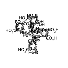 CN(CC(=O)NCC(CNC(=O)CN(C)C(=O)CN1CCN(CC(=O)O)CCN(CC(=O)O)CCN(CC(=O)O)CC1)(CNC(=O)CN(C)C(=O)CN1CCN(CC(=O)O)CCN(CC(=O)O)CCN(CC(O)O)CC1)CNC(=O)CN(C)C(=O)CN1CCN(CC(=O)O)CCN(CC(=O)O)CCN(CC2OC2O)CC1)C(=O)CN1CCN(CC(=O)O)CCN(CC(=O)O)CCN(CC(=O)O)CC1